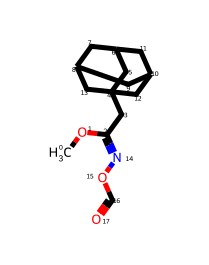 CO/C(CC12CC3CC(CC(C3)C1)C2)=N\OC=O